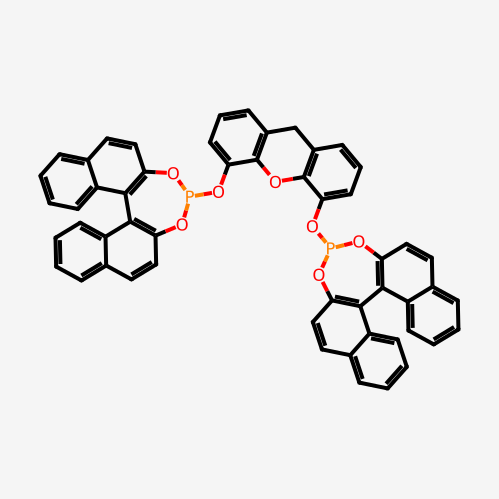 c1cc2c(c(Op3oc4ccc5ccccc5c4c4c(ccc5ccccc54)o3)c1)Oc1c(cccc1Op1oc3ccc4ccccc4c3c3c(ccc4ccccc43)o1)C2